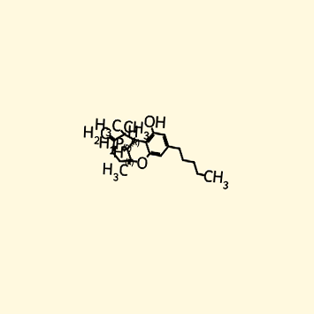 C=C1CC[C@@]2(C)Oc3cc(CCCCC)cc(O)c3[C@H]([C@H]2P)C1(C)C